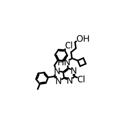 Cc1cccc(-c2nc3nc(Cl)nc(NC(CCCO)C4CCC4)c3n2Cc2ccc(Cl)cc2)c1